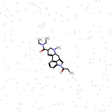 CCC(=O)n1cc2c3c(cccc31)C1=CC(C(=O)N(CC)CC)CN(C)C1C2